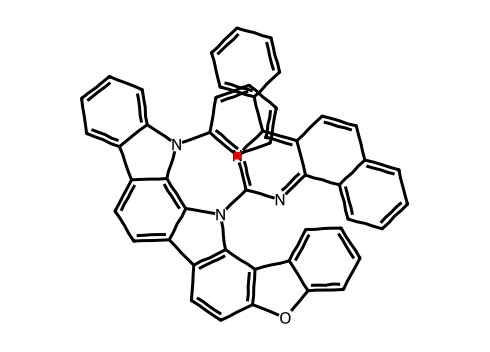 c1ccc(-c2nc(-n3c4c(ccc5oc6ccccc6c54)c4ccc5c6ccccc6n(-c6ccccc6)c5c43)nc3c2ccc2ccccc23)cc1